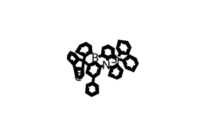 c1ccc(-c2cc3c4c(c2)C2(c5ccccc5B4c4cccc5c4N3c3ccccc3[Si]5(c3ccccc3)c3ccccc3)c3ccccc3-c3ccccc32)cc1